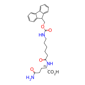 NC(=O)CC[C@H](NC(=O)CCCCCNC(=O)OCC1c2ccccc2-c2ccccc21)C(=O)O